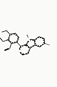 C=Cc1c(-c2nccc3c4cc(C)ccc4n(C)c23)ccc(CC)c1CC